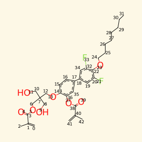 C=C(C)C(=O)OCC(CO)(CO)COc1ccc(-c2cc(F)c(OCCCCCCCC)c(F)c2)cc1OC(=O)C(=C)C